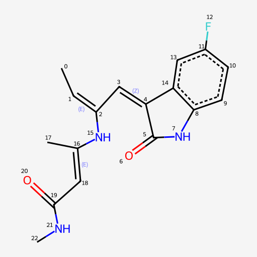 C/C=C(\C=C1/C(=O)Nc2ccc(F)cc21)N/C(C)=C/C(=O)NC